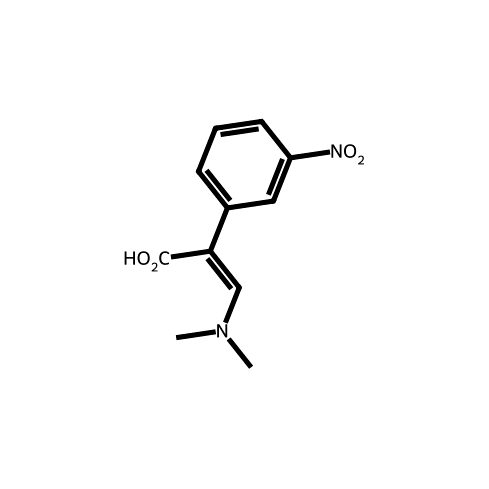 CN(C)C=C(C(=O)O)c1cccc([N+](=O)[O-])c1